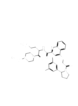 CCOC(=O)N1CCN(C(=O)C(CCC(=O)O)NC(=O)c2cc(OCC(=O)N3CCCC3c3cc(C)cc(C)c3)c3ccccc3n2)CC1